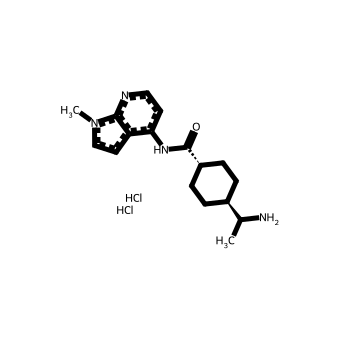 CC(N)[C@H]1CC[C@H](C(=O)Nc2ccnc3c2ccn3C)CC1.Cl.Cl